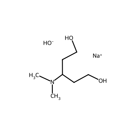 CN(C)C(CCO)CCO.[Na+].[OH-]